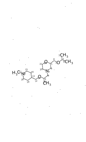 CC(C)OCC1CN(CC(C)OCC2CCN(C)CC2)CCO1